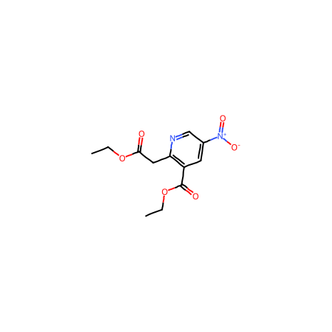 CCOC(=O)Cc1ncc([N+](=O)[O-])cc1C(=O)OCC